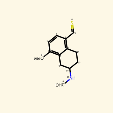 COc1ccc(C=S)c2c1CC(NC=O)CC2